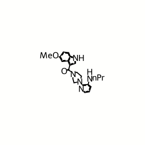 CCCNc1cccnc1N1CCN(C(=O)c2c[nH]c3ccc(OC)cc23)CC1